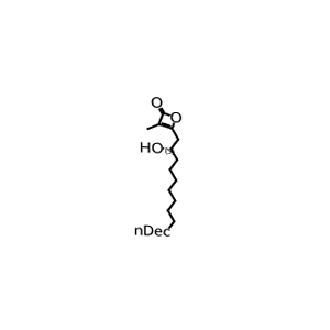 CCCCCCCCCCCCCCCCC[C@H](O)CC1=C(C)C(=O)O1